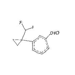 O=Cc1cccc(C2(C(F)F)CC2)c1